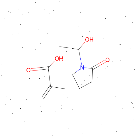 C=C(C)C(=O)O.CC(O)N1CCCC1=O